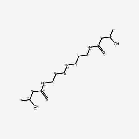 CC(O)CC(=O)NCCCNCCCNC(=O)CC(C)O